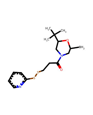 BC1CN(C(=O)CCSSc2ccccn2)CC(C(C)(C)C)O1